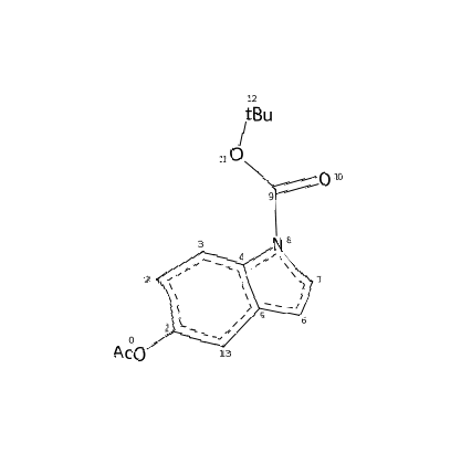 CC(=O)Oc1ccc2c(ccn2C(=O)OC(C)(C)C)c1